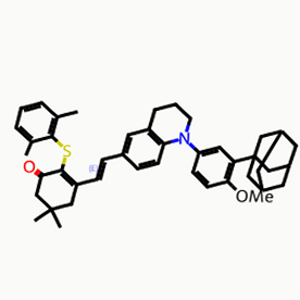 COc1ccc(N2CCCc3cc(/C=C/C4=C(Sc5c(C)cccc5C)C(=O)CC(C)(C)C4)ccc32)cc1C12CC3CC(CC(C3)C1)C2